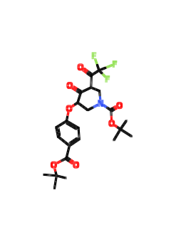 CC(C)(C)OC(=O)c1ccc(OC2CN(C(=O)OC(C)(C)C)CC(C(=O)C(F)(F)F)C2=O)cc1